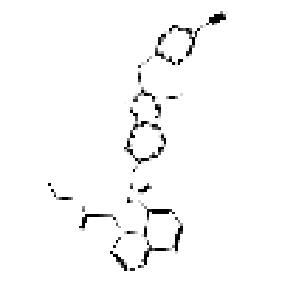 CCOC(=O)CN1C=CC=C2C=CC=C(S(=O)(=O)Nc3ccc4c(c3)nc(Cc3ccc(C#N)cc3)n4C)C21